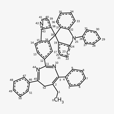 CCC1=C(c2ccccc2)N=C(c2ccc3c(c2)C2(c4ccccc4N(c4ccccc4)c4ccccc42)c2cccnc2-3)N=C(c2ccccc2)C1